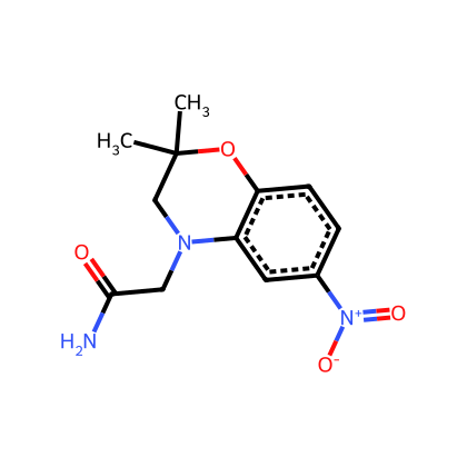 CC1(C)CN(CC(N)=O)c2cc([N+](=O)[O-])ccc2O1